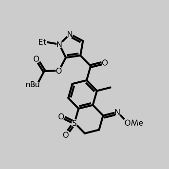 CCCCC(=O)Oc1c(C(=O)c2ccc3c(c2C)/C(=N/OC)CCS3(=O)=O)cnn1CC